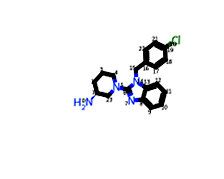 N[C@@H]1CCCN(c2nc3ccccc3n2Cc2ccc(Cl)cc2)C1